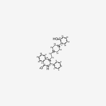 O=C1NC(c2ccccc2)N(CCN2CCN(c3ccccc3O)CC2)c2ccccc21